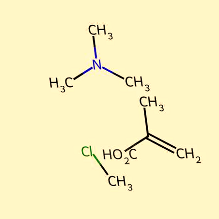 C=C(C)C(=O)O.CCl.CN(C)C